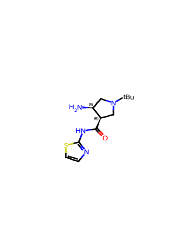 CC(C)(C)N1C[C@H](N)[C@H](C(=O)Nc2nccs2)C1